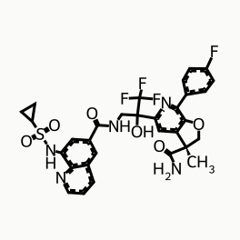 C[C@]1(C(N)=O)COc2c1cc(C(O)(CNC(=O)c1cc(NS(=O)(=O)C3CC3)c3ncccc3c1)C(F)(F)F)nc2-c1ccc(F)cc1